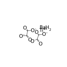 O=C([O-])C(=O)[O-].O=C([O-])C(=O)[O-].[BaH2].[Ti+4]